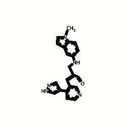 Cn1ccc2cc(NC/C(C=O)=C/c3cnccc3-c3cn[nH]c3)ccc21